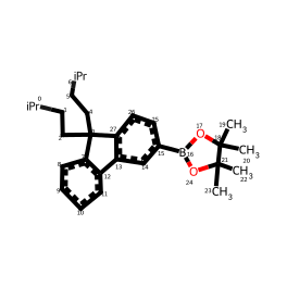 CC(C)CCC1(CCC(C)C)c2ccccc2-c2cc(B3OC(C)(C)C(C)(C)O3)ccc21